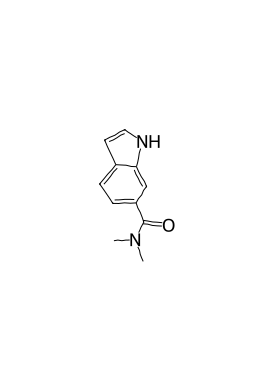 CN(C)C(=O)c1ccc2cc[nH]c2c1